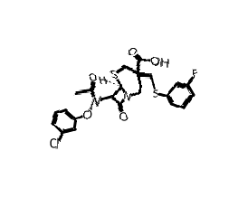 CC(=O)N(Oc1cccc(Cl)c1)C1C(=O)N2CC(CSc3cccc(F)c3)(C(=O)O)CS[C@H]12